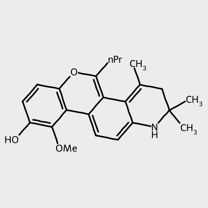 CCCC1=c2c(ccc3c2=C(C)CC(C)(C)N3)-c2c(ccc(O)c2OC)O1